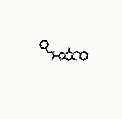 O=C(NCc1ccccc1)c1cn2c(=O)n(Cc3ccccc3)c(=O)cc2s1